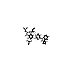 C=CC(=O)Nc1cc(Nc2nccc(N3CC4(CCC4)c4ncccc43)n2)c(OC(F)F)cc1N(C)CCN(C)C